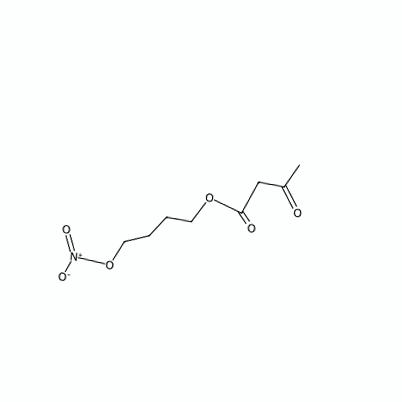 CC(=O)CC(=O)OCCCCO[N+](=O)[O-]